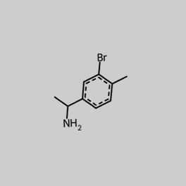 Cc1ccc(C(C)N)cc1Br